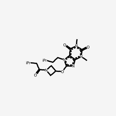 CC(C)CCn1c(OC2CN(C(=O)CC(C)C)C2)nc2c1c(=O)n(C)c(=O)n2C